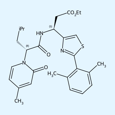 CCOC(=O)C[C@H](NC(=O)[C@@H](CC(C)C)n1ccc(C)cc1=O)c1csc(-c2c(C)cccc2C)n1